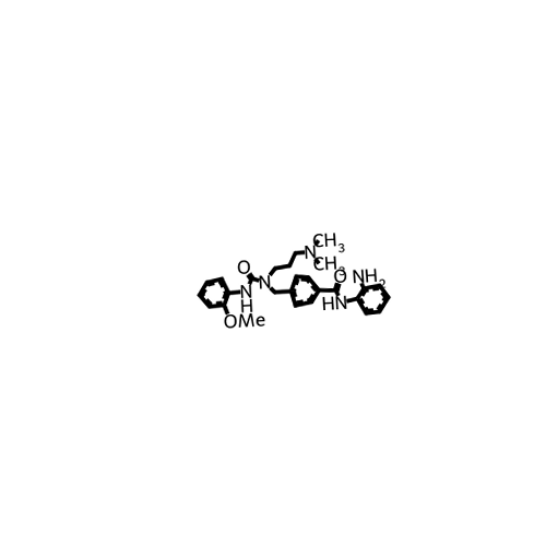 COc1ccccc1NC(=O)N(CCCN(C)C)Cc1ccc(C(=O)Nc2ccccc2N)cc1